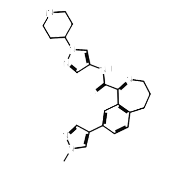 Cn1cc(-c2ccc3c(c2)C(C(=O)Nc2cnn(C4CCNCC4)c2)=NCCC3)cn1